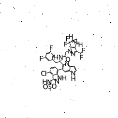 CS(=O)(=O)Nc1n[nH]c2c(-c3cc4[nH]ccc4nc3C(Cc3cc(F)cc(F)c3)NC(=O)Cn3nc(C(F)F)c4c3C(F)(F)[C@@H]3C[C@H]43)ccc(Cl)c12